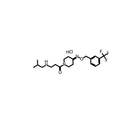 CC(C)CNCCC(=O)N1CCC(=NOCc2cccc(C(F)(F)F)c2)CC1.Cl